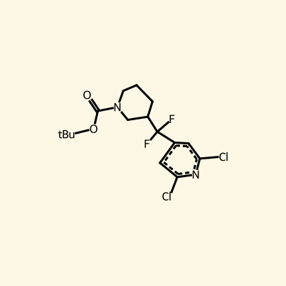 CC(C)(C)OC(=O)N1CCCC(C(F)(F)c2cc(Cl)nc(Cl)c2)C1